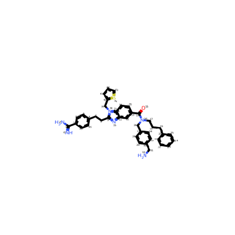 N=C(N)c1ccc(CCc2nc3cc(C(=O)N(CCCc4ccccc4)Cc4ccc(CN)cc4)ccc3n2Cc2cccs2)cc1